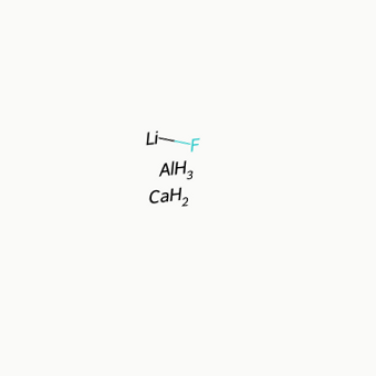 [AlH3].[CaH2].[Li][F]